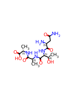 C[C@H](NC(=O)[C@H](C)NC(=O)[C@@H](NC(=O)[C@@H](N)CC(N)=O)[C@@H](C)O)C(=O)O